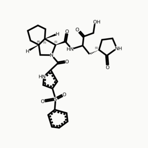 O=C(CO)C(C[C@@H]1CCNC1=O)NC(=O)[C@@H]1[C@H]2CCCC[C@H]2CN1C(=O)c1cc(S(=O)(=O)c2ccccc2)c[nH]1